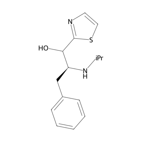 CC(C)N[C@@H](Cc1ccccc1)C(O)c1nccs1